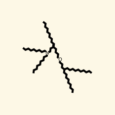 CCCCCCCCC/C=C(/CCCCOCCCC(CCCCCCCCC)CCCCCCCCCC)CCN(CCCCCCCCC)CCCCCCCCC